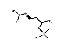 CC(C)(C)[S@+]([O-])/N=C/CC(O[Si](C)(C)C(C)(C)C)C(F)(F)F